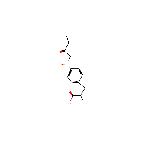 CCC(=O)C[S+]([O-])c1ccc(CC(C)C(=O)O)cc1